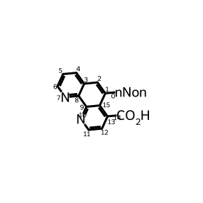 CCCCCCCCCc1cc2cccnc2c2nccc(C(=O)O)c12